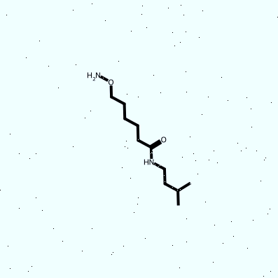 CC(C)CCNC(=O)CCCCCON